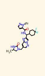 CC1CN(Cc2cnn3cc(C(NC(=O)c4ccnn4C(C)C)C4CCC(F)(F)CC4)nc3c2)C(=O)N1